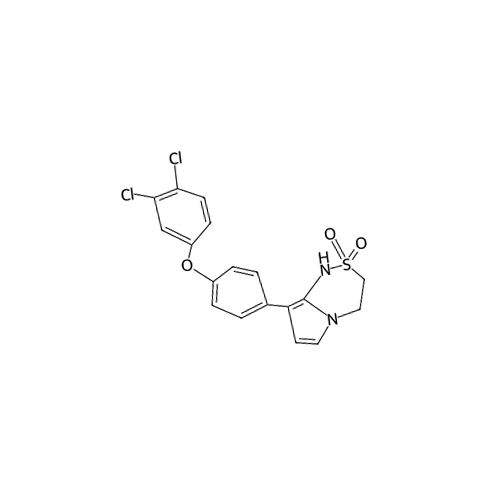 O=S1(=O)CCn2ccc(-c3ccc(Oc4ccc(Cl)c(Cl)c4)cc3)c2N1